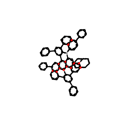 c1ccc(-c2ccc(N(c3cc(N(c4ccc(-c5ccccc5)cc4)c4c(-c5ccccc5)cc(-c5ccccc5)cc4-c4ccccc4)cc(N4C5CCCC4CCC5)c3)c3c(-c4ccccc4)cc(-c4ccccc4)cc3-c3ccccc3)cc2)cc1